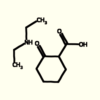 CCNCC.O=C(O)C1CCCCC1=O